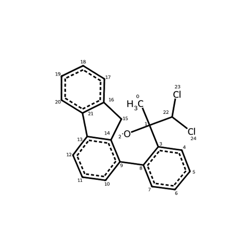 CC([O])(c1ccccc1-c1cccc2c1Cc1ccccc1-2)C(Cl)Cl